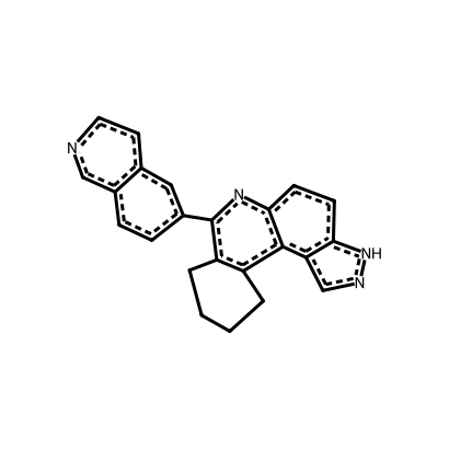 c1cc2cc(-c3nc4ccc5[nH]ncc5c4c4c3CCCC4)ccc2cn1